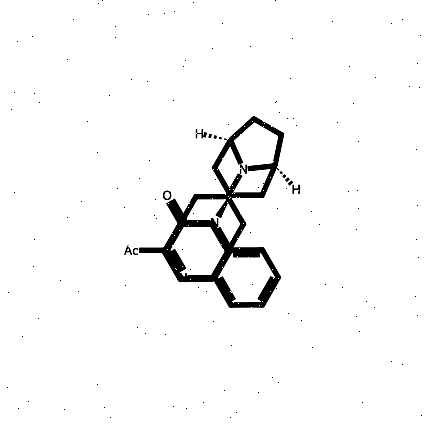 CC(=O)c1nc2ccccc2n([C@H]2C[C@H]3CC[C@@H](C2)N3C2CC3CCCC(C3)C2)c1=O